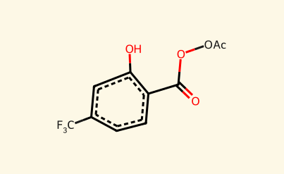 CC(=O)OOC(=O)c1ccc(C(F)(F)F)cc1O